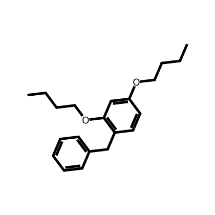 CCCCOc1ccc(Cc2ccccc2)c(OCCCC)c1